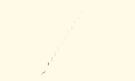 CCCC=CCC=CCCCCCCCCCCCCCCCCCCCCCC(=O)O